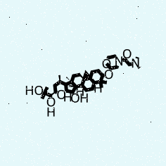 C[C@@H]1C[C@H](C(O)C(C)(C)O)O[C@H]2C1[C@@]1(C)CC[C@@]34CC35CCC(OC3CN(C(=O)CN(C)C)CCO3)C(C)(C)[C@@H]5CC[C@H]4[C@]1(C)[C@H]2O